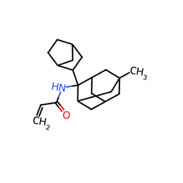 C=CC(=O)NC1(C2CC3CCC2C3)C2CC3CC1CC(C)(C3)C2